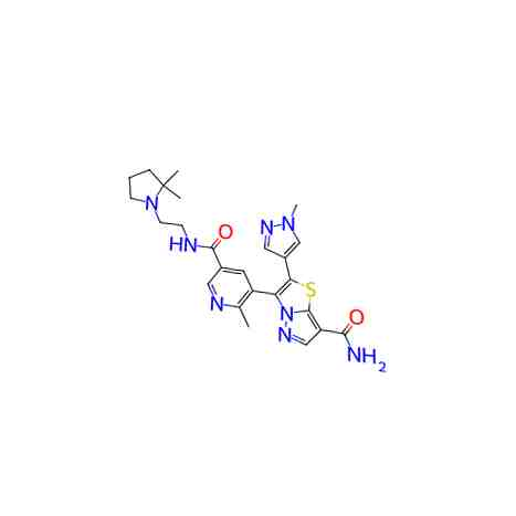 Cc1ncc(C(=O)NCCN2CCCC2(C)C)cc1-c1c(-c2cnn(C)c2)sc2c(C(N)=O)cnn12